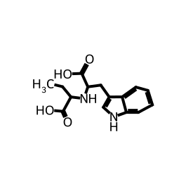 CCC(NC(Cc1c[nH]c2ccccc12)C(=O)O)C(=O)O